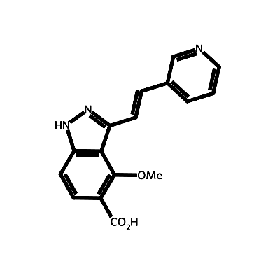 COc1c(C(=O)O)ccc2[nH]nc(C=Cc3cccnc3)c12